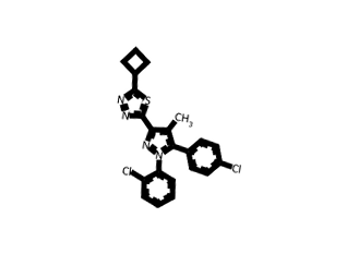 Cc1c(-c2nnc(C3CCC3)s2)nn(-c2ccccc2Cl)c1-c1ccc(Cl)cc1